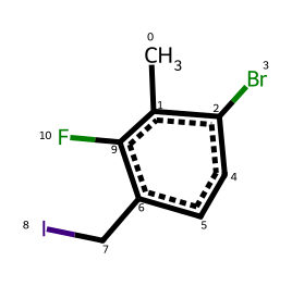 Cc1c(Br)ccc(CI)c1F